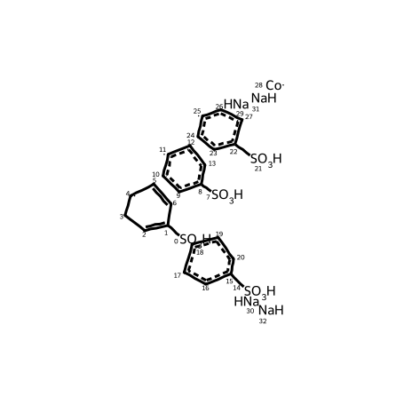 O=S(=O)(O)C1=CC[CH]C=C1.O=S(=O)(O)c1cc[c]cc1.O=S(=O)(O)c1cc[c]cc1.O=S(=O)(O)c1cc[c]cc1.[Co].[NaH].[NaH].[NaH].[NaH]